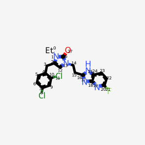 CCn1c(Cc2ccc(Cl)cc2Cl)cn(CCc2nc3nc(F)ccc3[nH]2)c1=O